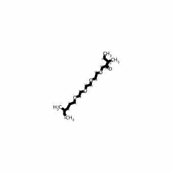 CCC(C)CCCOCCOCCOCCOCC(=O)C(C)CC